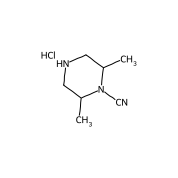 CC1CNCC(C)N1C#N.Cl